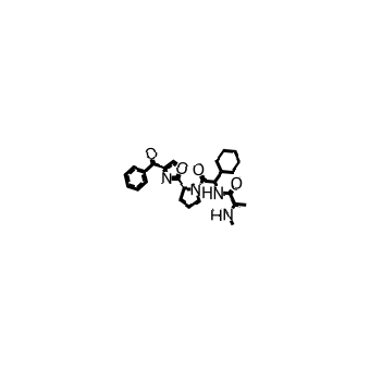 CNC(C)C(=O)NC(C(=O)N1CCC[C@H]1c1nc(C(=O)c2ccccc2)co1)C1CCCCC1